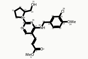 COC(=O)C=Cc1cnc(N2CCCC2CO)nc1NCc1ccc(OC)c(Cl)c1